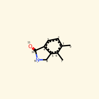 Cc1ccc2c(c1C)C[N]C2=O